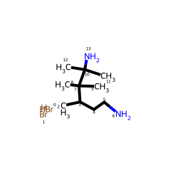 Br.Br.CC(CCN)C(C)(C)C(C)(C)N